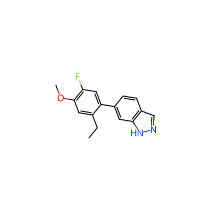 CCc1cc(OC)c(F)cc1-c1ccc2cn[nH]c2c1